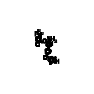 CC1CN(C(=O)c2ccc(-c3cnc(N)c(OCc4cc(C(F)(F)F)ccc4Cl)c3)cc2)CC(C)N1